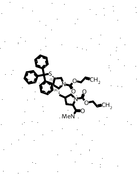 C=CCOC(=O)N1CC(C[C@@H]2C[C@H](SC(c3ccccc3)(c3ccccc3)c3ccccc3)CN2C(=O)OCC=C)CC1C(=O)NC